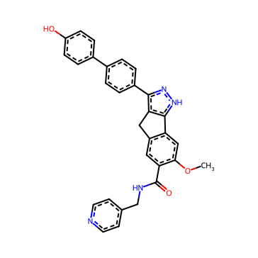 COc1cc2c(cc1C(=O)NCc1ccncc1)Cc1c(-c3ccc(-c4ccc(O)cc4)cc3)n[nH]c1-2